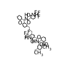 CCc1cccc(C(NC(=O)c2cc(CCCc3ccc4c(c3)C(NC(=O)c3ccc(C(F)(F)F)[nH]c3=O)c3ccccc3O4)c(C(F)(F)F)[nH]c2=O)c2ccccc2S(C)(=O)=O)c1